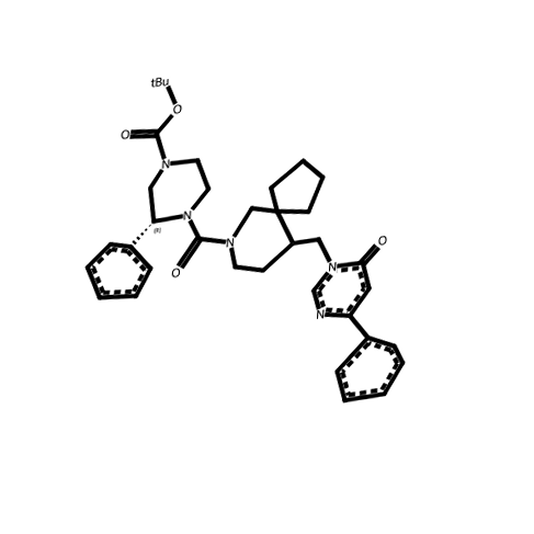 CC(C)(C)OC(=O)N1CCN(C(=O)N2CCC(Cn3cnc(-c4ccccc4)cc3=O)C3(CCCC3)C2)[C@H](c2ccccc2)C1